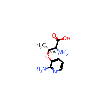 C[C@@H](Oc1cccnc1N)[C@H](N)C(=O)O